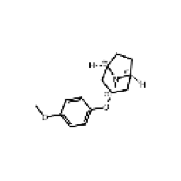 COc1ccc(O[C@@H]2C[C@H]3CC[C@@H](C2)N3C)cc1